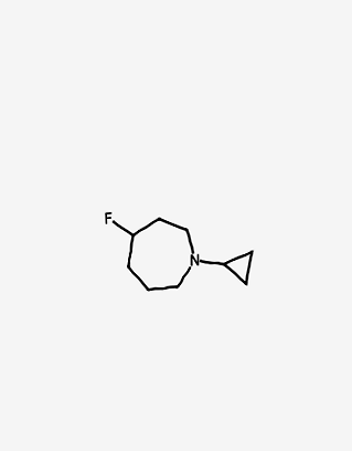 FC1CCCN(C2CC2)CC1